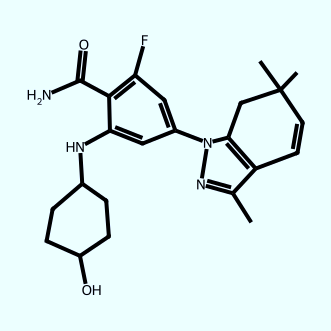 Cc1nn(-c2cc(F)c(C(N)=O)c(NC3CCC(O)CC3)c2)c2c1C=CC(C)(C)C2